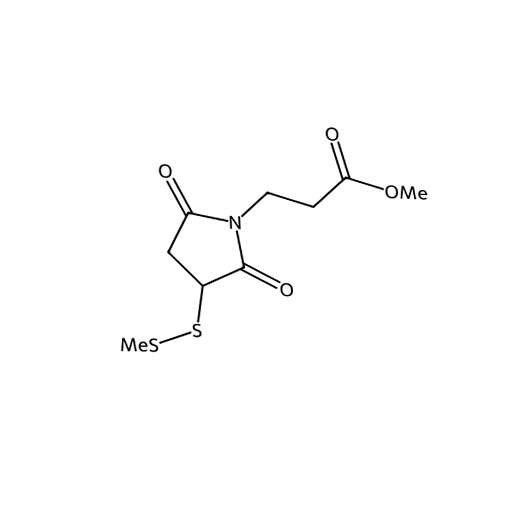 COC(=O)CCN1C(=O)CC(SSC)C1=O